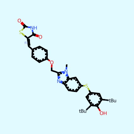 Cn1c(COc2ccc(/C=C3/SC(=O)NC3=O)cc2)nc2ccc(Sc3cc(C(C)(C)C)c(O)c(C(C)(C)C)c3)cc21